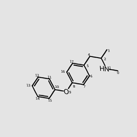 CNC(C)Cc1ccc(Oc2ccccc2)cc1